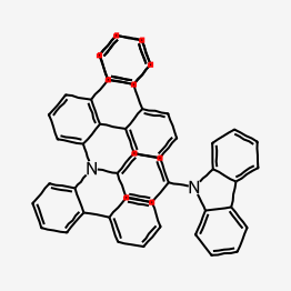 c1ccc(-c2ccccc2-c2c(-c3ccccc3)cccc2N(c2ccc(-n3c4ccccc4c4ccccc43)cc2)c2ccccc2-c2ccccc2)cc1